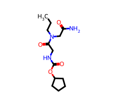 CCCN(CC(N)=O)C(=O)CNC(=O)OC1CCCC1